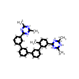 Cc1nc(C)nc(-c2cccc(-c3cccc(-c4cccc(-c5cc(-c6nc(C)nc(C)n6)ccc5C)c4)c3)c2)n1